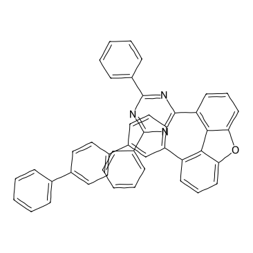 c1ccc(-c2ccc(-c3cccc(-c4cccc5oc6cccc(-c7nc(-c8ccccc8)nc(-c8ccccc8)n7)c6c45)c3)cc2)cc1